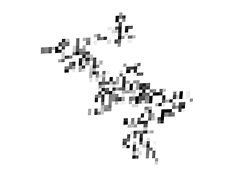 CC[C@@]1(O)C(=O)OCc2c1cc1n(c2=O)Cc2c-1nc1cc(F)c(C)c3c1c2[C@@H](NC(=O)C(C)(C)CCN(CC(N)=O)C(=O)[C@H](Cc1ccccc1)NC(=O)CNC(=O)CNC(=O)[C@H](CC(=O)O)NC(=O)CCCCCN1C(=O)C=CC1=O)CC3